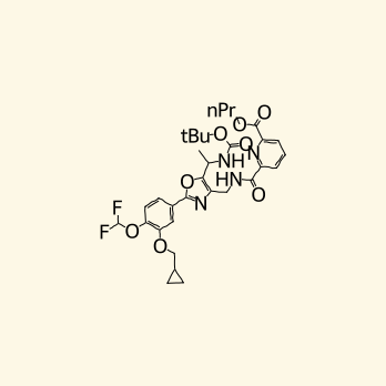 CCCOC(=O)c1cccc(C(=O)NCc2nc(-c3ccc(OC(F)F)c(OCC4CC4)c3)oc2C(C)NC(=O)OC(C)(C)C)n1